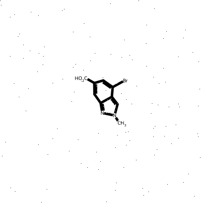 Cn1cc2c(Br)cc(C(=O)O)cc2n1